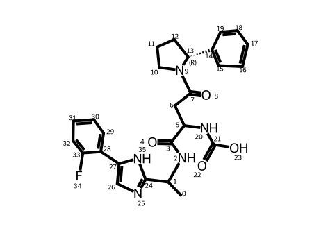 CC(NC(=O)C(CC(=O)N1CCC[C@@H]1c1ccccc1)NC(=O)O)c1ncc(-c2ccccc2F)[nH]1